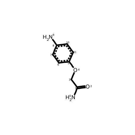 NC(=O)COc1ccc(N)cc1